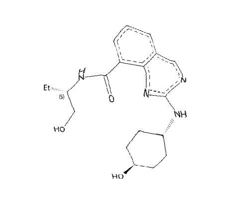 CC[C@@H](CO)NC(=O)c1cccc2cnc(N[C@H]3CC[C@H](O)CC3)nc12